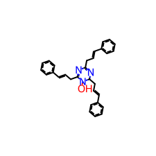 ON1C(C/C=C/c2ccccc2)=NC(C/C=C/c2ccccc2)=NC1C/C=C/c1ccccc1